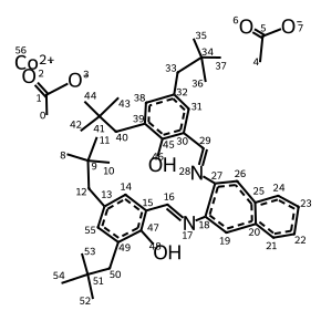 CC(=O)[O-].CC(=O)[O-].CC(C)(C)Cc1cc(C=Nc2cc3ccccc3cc2N=Cc2cc(CC(C)(C)C)cc(CC(C)(C)C)c2O)c(O)c(CC(C)(C)C)c1.[Co+2]